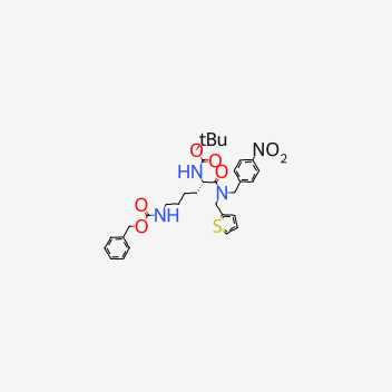 CC(C)(C)OC(=O)N[C@@H](CCCCNC(=O)OCc1ccccc1)C(=O)N(Cc1ccc([N+](=O)[O-])cc1)Cc1cccs1